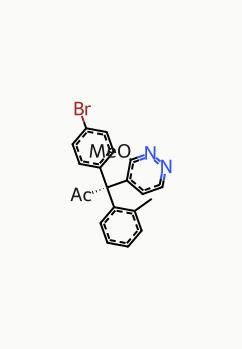 COc1nnccc1[C@](C(C)=O)(c1ccc(Br)cc1)c1ccccc1C